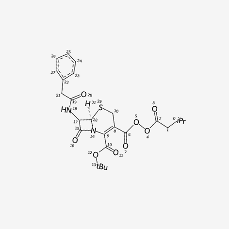 CC(C)CC(=O)OOC(=O)C1=C(C(=O)OC(C)(C)C)N2C(=O)C(NC(=O)Cc3ccccc3)[C@H]2SC1